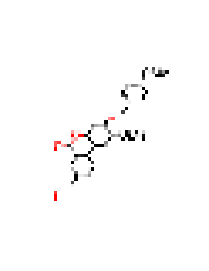 COc1ccc(COc2cc3oc(=O)c4cc(CCO)ccc4c3cc2OC)cc1